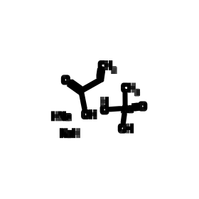 C=CC(=O)O.C[As](=O)(O)O.[NaH].[NaH]